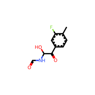 Cc1ccc(C(=O)C(O)NC=O)cc1F